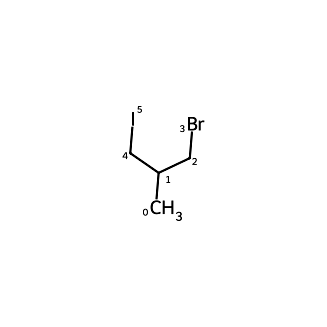 CC(CBr)CI